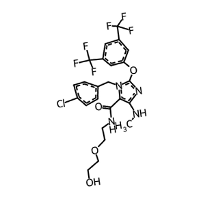 CNc1nc(Oc2cc(C(F)(F)F)cc(C(F)(F)F)c2)n(Cc2ccc(Cl)cc2)c1C(=O)NCCOCCO